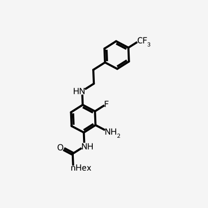 CCCCCCC(=O)Nc1ccc(NCCc2ccc(C(F)(F)F)cc2)c(F)c1N